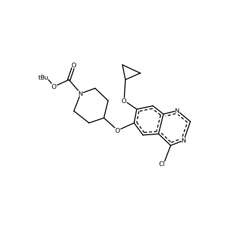 CC(C)(C)OC(=O)N1CCC(Oc2cc3c(Cl)ncnc3cc2OC2CC2)CC1